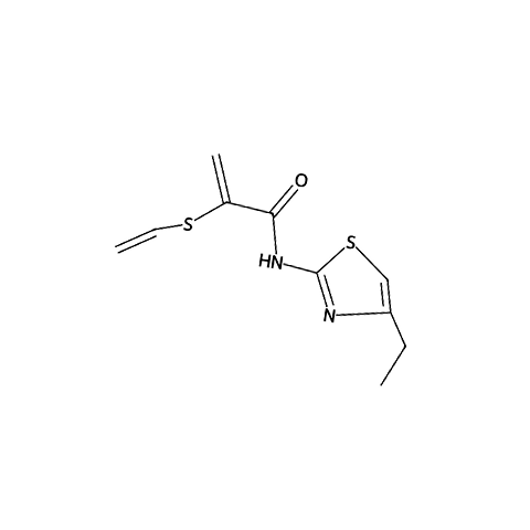 C=CSC(=C)C(=O)Nc1nc(CC)cs1